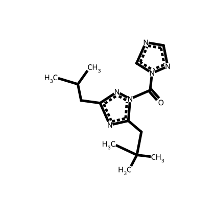 CC(C)Cc1nc(CC(C)(C)C)n(C(=O)n2cncn2)n1